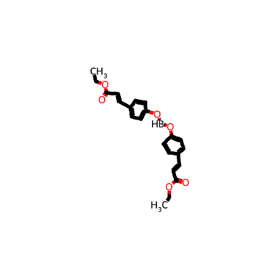 CCOC(=O)C=Cc1ccc(OBOc2ccc(C=CC(=O)OCC)cc2)cc1